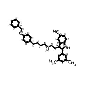 Cc1cc(C)cc(-c2[nH]c3ccc(O)cc3c2CCNCCCCc2ccc(OCc3ccccc3)cc2)c1